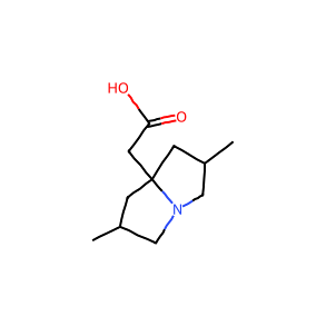 CC1CN2CC(C)CC2(CC(=O)O)C1